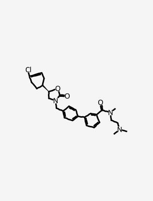 CN(C)CCN(C)C(=O)c1cccc(-c2ccc(CN3C[C@@H](C4CC=C(Cl)CC4)OC3=O)cc2)c1